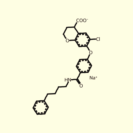 O=C(NCCCCc1ccccc1)c1ccc(Oc2cc3c(cc2Cl)C(C(=O)[O-])CCO3)cc1.[Na+]